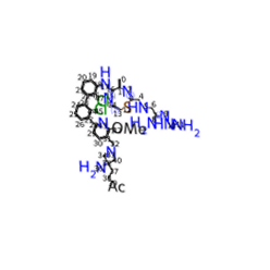 C=C1/N=C(/CNC/C(N)=N/NN)S/C=C\N=C/1Nc1cccc(-c2cccc(-c3ccc(CN4CC(N)(CCC(C)=O)C4)c(OC)n3)c2Cl)c1Cl